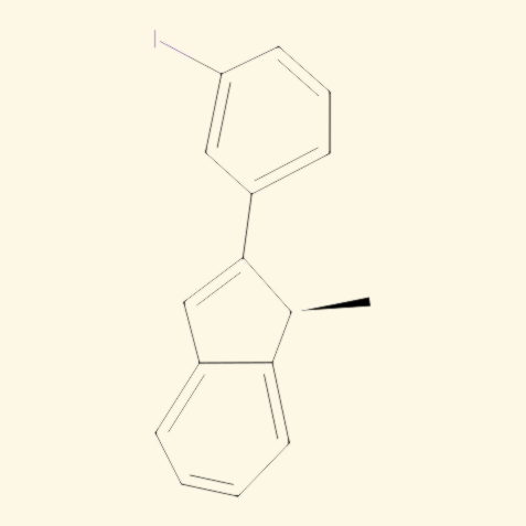 C[C@@H]1C(c2cccc(I)c2)=Cc2ccccc21